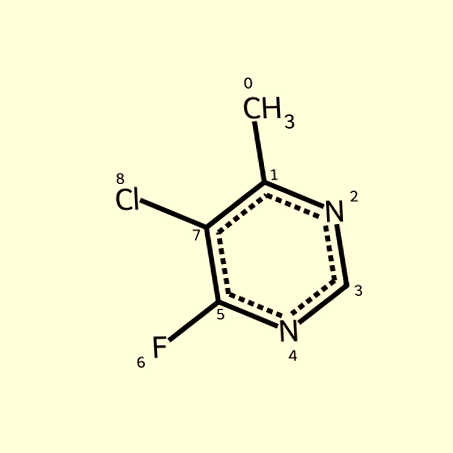 Cc1ncnc(F)c1Cl